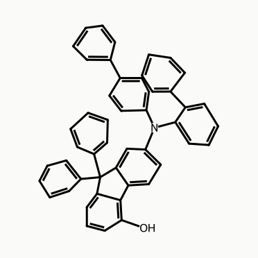 Oc1cccc2c1-c1ccc(N(c3ccc(-c4ccccc4)cc3)c3ccccc3-c3ccccc3)cc1C2(c1ccccc1)c1ccccc1